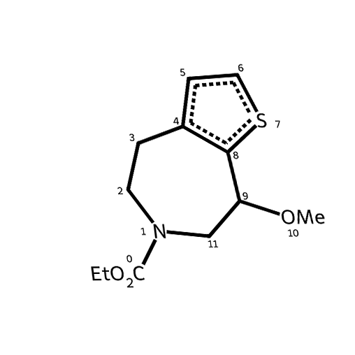 CCOC(=O)N1CCc2ccsc2C(OC)C1